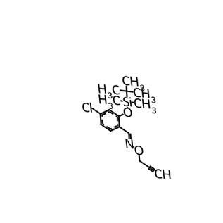 C#CCON=Cc1ccc(Cl)cc1O[Si](C)(C)C(C)(C)C